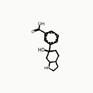 O=C(O)c1[c]ccc(C2(O)CCC3CCNC3C2)c1